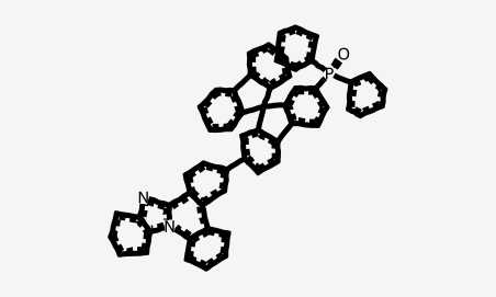 O=P(c1ccccc1)(c1ccccc1)c1ccc2c(c1)C1(c3ccccc3-c3ccccc31)c1cc(-c3ccc4c(c3)c3ccccc3n3c5ccccc5nc43)ccc1-2